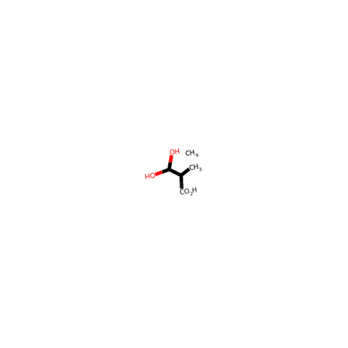 C.CC(C(=O)O)C(O)O